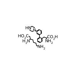 NC(Cc1ccccc1-c1cccc(N2CCNCC2)c1)C(=O)O.NCCCCC(N)CC(=O)O